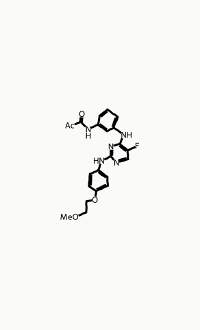 COCCOc1ccc(Nc2ncc(F)c(Nc3cccc(NC(=O)C(C)=O)c3)n2)cc1